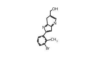 Cc1c(Br)cccc1C1=CC2=NC=C(CO)CC2=N1